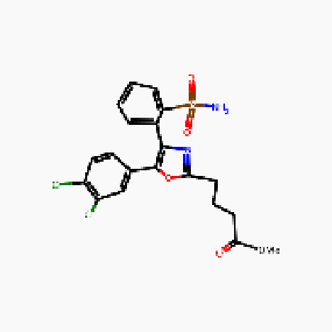 COC(=O)CCCc1nc(-c2ccccc2S(N)(=O)=O)c(-c2ccc(Cl)c(Cl)c2)o1